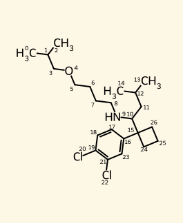 CC(C)COCCCCNC(CC(C)C)C1(c2ccc(Cl)c(Cl)c2)CCC1